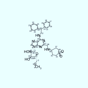 COC[C@H]1O[C@@H](n2cnc3c(NCC(c4ccccc4)c4ccccc4)nc(CNC4CCS(=O)(=O)CC4)nc32)[C@H](O)[C@@H]1O